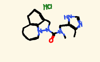 Cc1nc[nH]c1CN(C)C(=O)N1CC2=CCCC3=C2N1C=CCC3.Cl